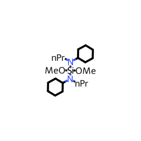 CCCN(C1CCCCC1)[Si](OC)(OC)N(CCC)C1CCCCC1